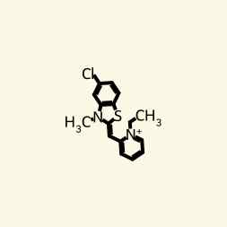 CC[n+]1ccccc1/C=C1\Sc2ccc(Cl)cc2N1C